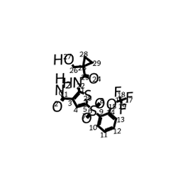 NC(=O)c1cc(S(=O)(=O)c2ccccc2OC(F)(F)F)sc1NC(=O)C1(CO)CC1